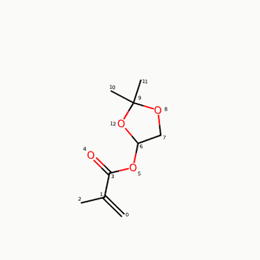 C=C(C)C(=O)OC1COC(C)(C)O1